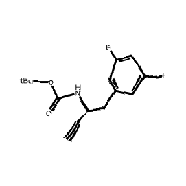 C#C[C@H](Cc1cc(F)cc(F)c1)NC(=O)OC(C)(C)C